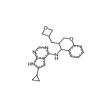 c1ccc2c(c1)OCC(CC1COC1)C2Nc1ncnc2[nH]c(C3CC3)cc12